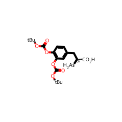 CC(C)(C)OC(=O)Oc1ccc(C[C@H]([AsH2])C(=O)O)cc1OC(=O)OC(C)(C)C